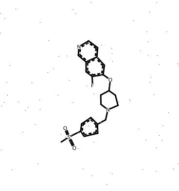 CS(=O)(=O)c1ccc(CN2CCC(Oc3cc4ccncc4cc3F)CC2)cc1